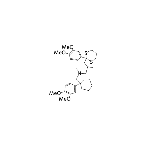 COc1ccc(C2(CN(C)CC(C)CC3(c4ccc(OC)c(OC)c4)SCCCS3)CCCCC2)cc1OC